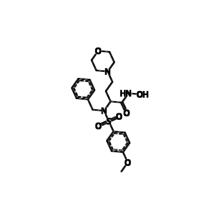 COc1ccc(S(=O)(=O)N(Cc2ccccc2)C(CCN2CCOCC2)C(=O)NO)cc1